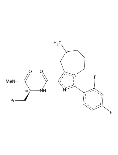 CNC(=O)[C@H](CC(C)C)NC(=O)c1nc(-c2ccc(F)cc2F)n2c1CN(C)CCC2